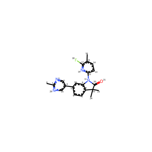 Cc1ncc(-c2ccc3c(c2)N(c2ccc(C)c(F)n2)C(=O)C3(C)C)cn1